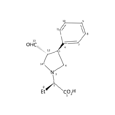 CC[C@H](C(=O)O)N1C[C@H](c2ccccc2)[C@@H](C=O)C1